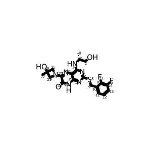 C[C@H](CO)Nc1nc(SCc2cccc(F)c2F)nc2[nH]c(=O)c(N3CC(C)(O)C3)nc12